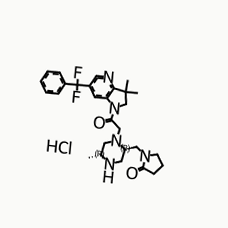 C[C@@H]1CN(CC(=O)N2CC(C)(C)c3ncc(C(F)(F)c4ccccc4)cc32)[C@@H](CN2CCCC2=O)CN1.Cl